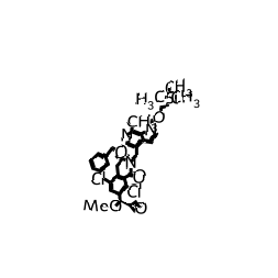 COC(c1cc(Cl)c2c(c1Cl)C(=O)N(Cc1c(OCc3ccccc3)nc(C)c3c1ccn3COCC[Si](C)(C)C)CC2)C1COC1